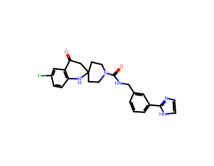 O=C1CC2(CCN(C(=O)NCc3cccc(-c4ncc[nH]4)c3)CC2)Nc2ccc(F)cc21